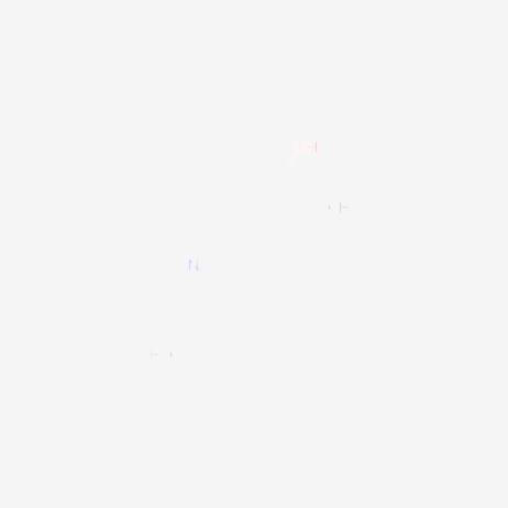 Cc1cc(C2=NCC(C)CC2)ccc1O